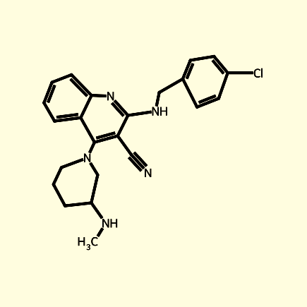 CNC1CCCN(c2c(C#N)c(NCc3ccc(Cl)cc3)nc3ccccc23)C1